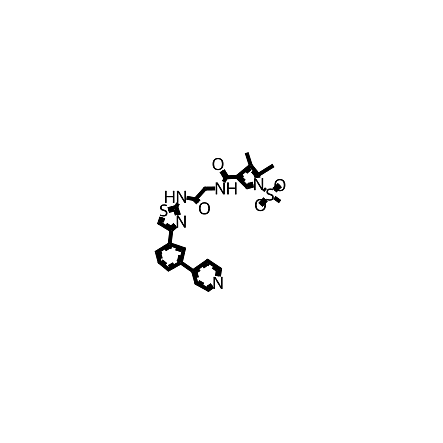 Cc1c(C(=O)NCC(=O)Nc2nc(-c3cccc(-c4ccncc4)c3)cs2)cn(S(C)(=O)=O)c1C